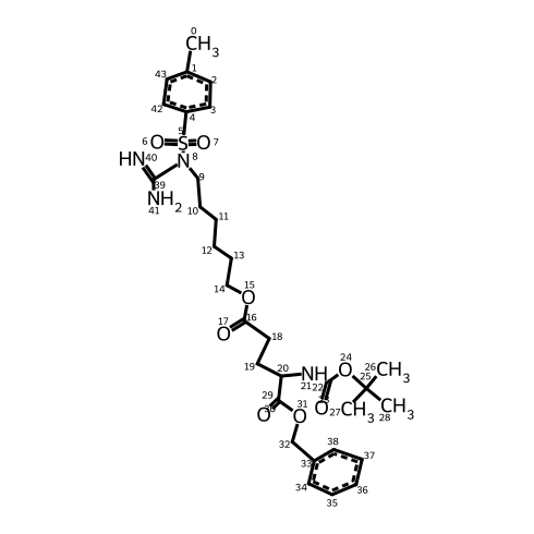 Cc1ccc(S(=O)(=O)N(CCCCCCOC(=O)CCC(NC(=O)OC(C)(C)C)C(=O)OCc2ccccc2)C(=N)N)cc1